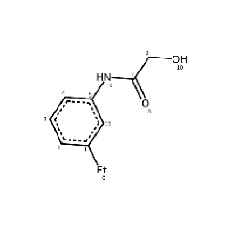 CCc1cccc(NC(=O)CO)c1